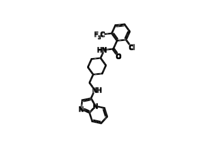 O=C(NC1CCC(CNc2cnc3ccccn23)CC1)c1c(Cl)cccc1C(F)(F)F